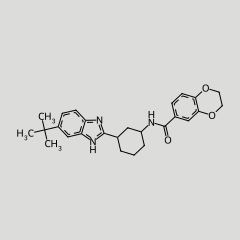 CC(C)(C)c1ccc2nc(C3CCCC(NC(=O)c4ccc5c(c4)OCCO5)C3)[nH]c2c1